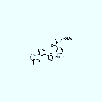 COCCN(C)C(=O)c1ccc(C)c(Nc2ncc(-c3ccnc(-c4ccc[nH]c4=O)c3)o2)c1